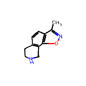 Cc1noc2c3c(ccc12)CCNC3